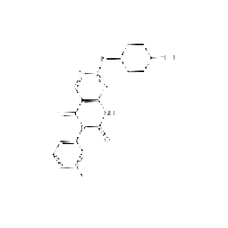 O=c1[nH]c2nc(NC3CCC(O)CC3)ncc2c(=O)n1-c1cccc(F)c1